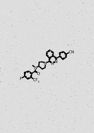 CN(C(=O)c1ccc(F)cc1C(F)(F)F)C1CCN(c2nnc(-c3ccc(C#N)cc3)c3ccccc23)CC1